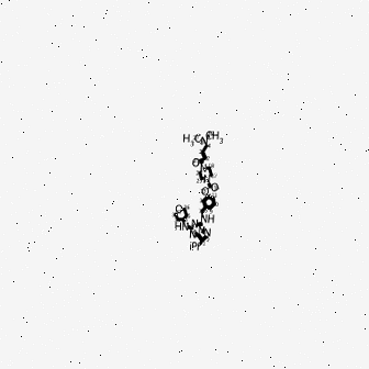 CC(C)c1cnn2c(NCc3cccc(OC(=O)N4CCN(C(=O)C=CCN(C)C)CC4)c3)nc(NC3CCOCC3)nc12